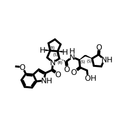 COc1cccc2[nH]c(C(=O)N3C[C@@H]4CCC[C@@H]4[C@@H]3C(=O)N[C@@H](C[C@@H]3CCNC3=O)C(=O)CO)cc12